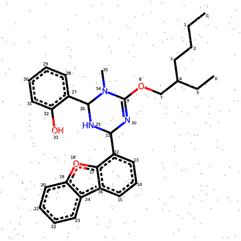 CCCCC(CC)COC1=NC(c2cccc3c2oc2ccccc23)NC(c2ccccc2O)N1C